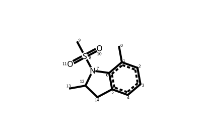 Cc1cccc2c1N(S(C)(=O)=O)C(C)C2